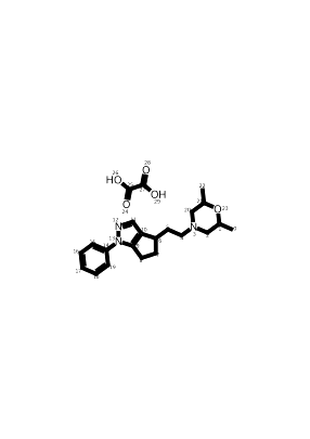 CC1CN(CCC2CCc3c2cnn3-c2ccccc2)CC(C)O1.O=C(O)C(=O)O